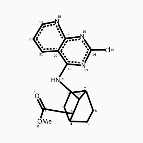 COC(=O)C1C2CCC(CC2)C1Nc1nc(Cl)nc2ncccc12